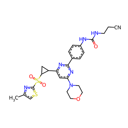 Cc1csc(S(=O)(=O)C2CC2c2cc(N3CCOCC3)nc(-c3ccc(NC(=O)NCCC#N)cc3)n2)n1